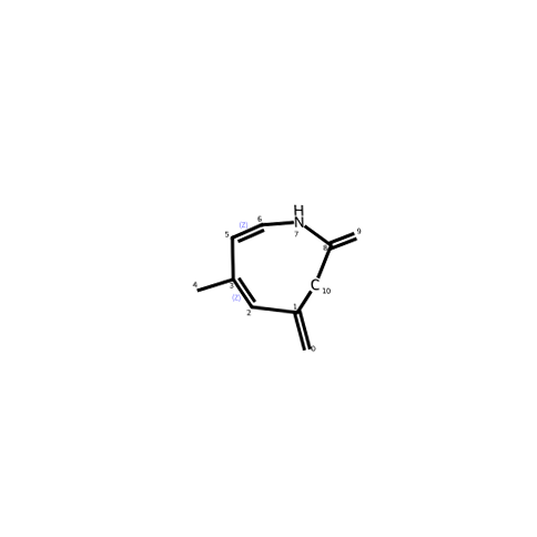 C=C1/C=C(C)\C=C/NC(=C)C1